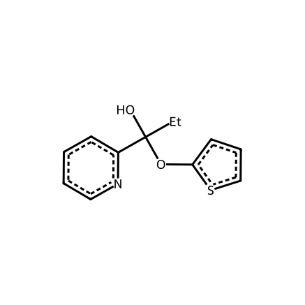 CCC(O)(Oc1cccs1)c1ccccn1